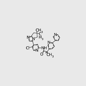 C[C@@H](C(=O)Nc1cc(-c2cnc3n2CC(C)(C)C3)c(Cl)cn1)c1ccc(-c2cccnc2)nc1